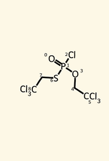 O=P(Cl)(OCC(Cl)(Cl)Cl)SCC(Cl)(Cl)Cl